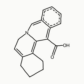 O=C(O)C1=c2ccccc2=CN2CC=C3CCCCC3=C12